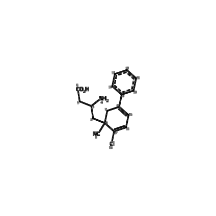 N#CC1(CC(N)CC(=O)O)CC(c2ccccc2)=CC=C1Cl